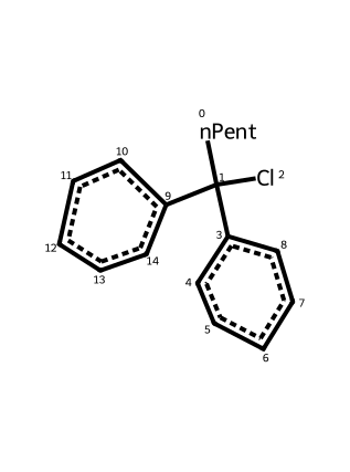 CCCCCC(Cl)(c1ccccc1)c1ccccc1